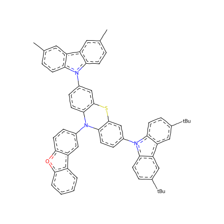 Cc1ccc2c(c1)c1cc(C)ccc1n2-c1ccc2c(c1)Sc1cc(-n3c4ccc(C(C)(C)C)cc4c4cc(C(C)(C)C)ccc43)ccc1N2c1ccc2oc3ccccc3c2c1